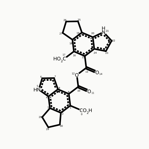 O=C(O)c1c2c(c3[nH]ccc3c1C(=O)OC(=O)c1c(C(=O)O)c3c(c4[nH]ccc14)CCC3)CCC2